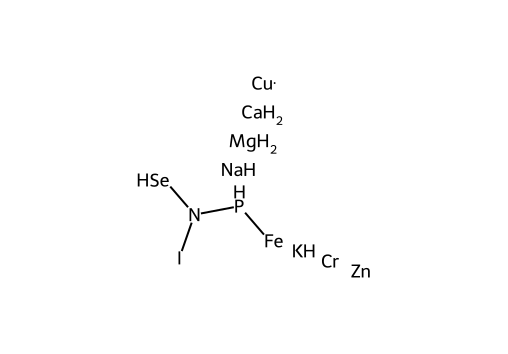 [CaH2].[Cr].[Cu].[Fe][PH]N([SeH])I.[KH].[MgH2].[NaH].[Zn]